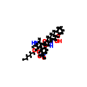 CCCCCCOC(=O)C1=C(C)NC(C)=C(C(=O)OCCCCCC)C1c1cc([N+](=O)[O-])ccc1OCCNCC(O)COc1ccccc1